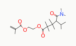 C=C(C)C(=O)OCCOC(=O)C(C)(C)C(C)(C)C(C(=O)N(C)C)C(C)C